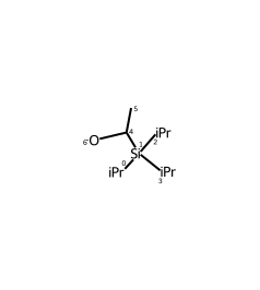 CC(C)[Si](C(C)C)(C(C)C)C(C)[O]